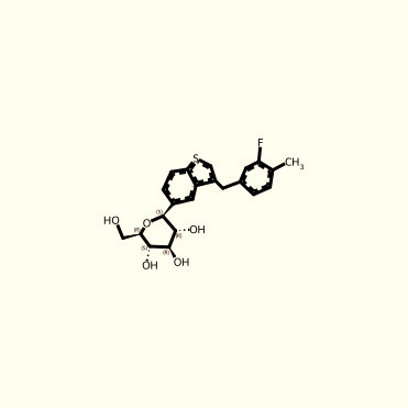 Cc1ccc(Cc2csc3ccc([C@@H]4O[C@H](CO)[C@@H](O)[C@H](O)[C@H]4O)cc23)cc1F